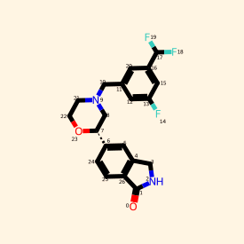 O=C1NCc2cc([C@H]3CN(Cc4cc(F)cc(C(F)F)c4)CCO3)ccc21